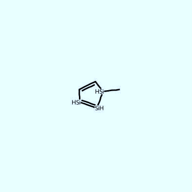 C[SiH]1C=C[SiH]=[SiH]1